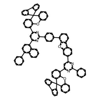 c1ccc(-c2nc(-c3ccc4c(c3)oc3c(-c5ccc(-c6nc(-c7cccc8c7Oc7ccccc7C87c8ccccc8-c8ccccc87)cc(-c7ccc(-c8ccccc8)c8ccccc78)n6)cc5)cccc34)cc(-c3cccc4c3Oc3ccccc3C43c4ccccc4-c4ccccc43)n2)cc1